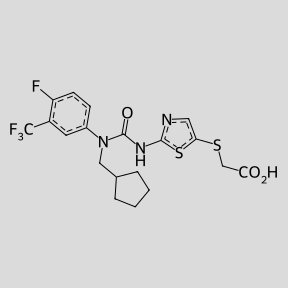 O=C(O)CSc1cnc(NC(=O)N(CC2CCCC2)c2ccc(F)c(C(F)(F)F)c2)s1